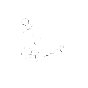 CC1(C)C(=O)C(C/C=C\CCCC(=O)O)[C@@H](/C=C/C(O)CCc2sc3ccccc3c2Cl)C1O